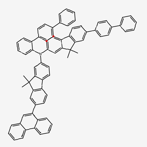 CC1(C)c2cc(-c3ccc(-c4ccccc4)cc3)ccc2-c2ccc(N(c3ccc4c(c3)C(C)(C)c3cc(-c5cc6ccccc6c6ccccc56)ccc3-4)c3ccccc3-c3ccc(-c4ccccc4)cc3)cc21